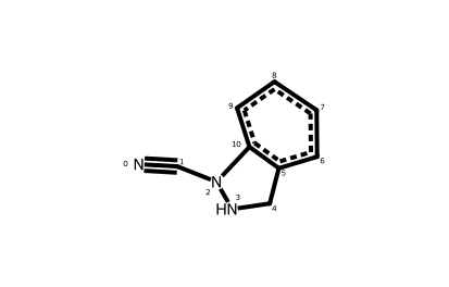 N#CN1NCc2ccccc21